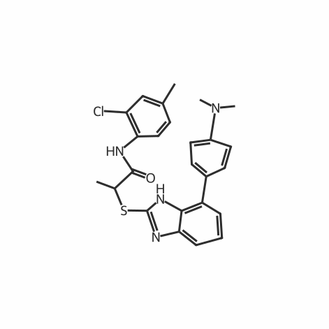 Cc1ccc(NC(=O)C(C)Sc2nc3cccc(-c4ccc(N(C)C)cc4)c3[nH]2)c(Cl)c1